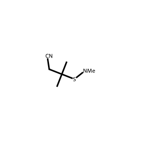 [CH2]NSC(C)(C)CC#N